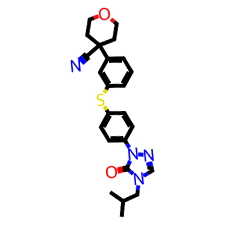 CC(C)Cn1cnn(-c2ccc(Sc3cccc(C4(C#N)CCOCC4)c3)cc2)c1=O